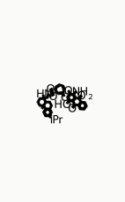 CC(C)c1ccc2c(c1)CCC1C(C)(CNS(=O)(=O)C3C=CC=C(Oc4cc(O)c5c(c4N)C(=O)c4ccccc4C5=O)C(Cl)=C3)CCCC21C